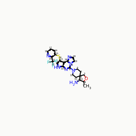 C[C@@H]1OCC2(CCN(c3nc4[nH]cc(Sc5cccnc5C(F)(F)F)c4c4nccn34)CC2)[C@@H]1N